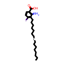 CCCCCCCCCCCCCCCCc1c(I)ccc(C(=O)O)c1N